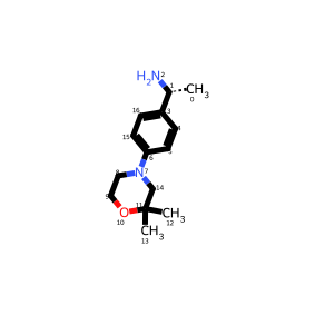 C[C@@H](N)c1ccc(N2CCOC(C)(C)C2)cc1